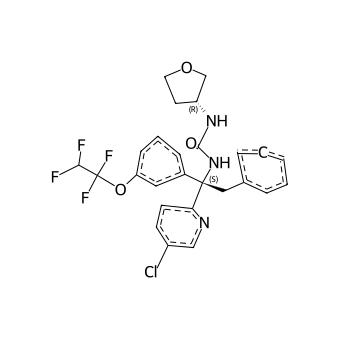 O=C(N[C@@H]1CCOC1)N[C@@](Cc1ccccc1)(c1cccc(OC(F)(F)C(F)F)c1)c1ccc(Cl)cn1